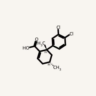 C[C@@H]1CC=C(C(=O)O)[C@](C)(c2ccc(Cl)c(Cl)c2)C1